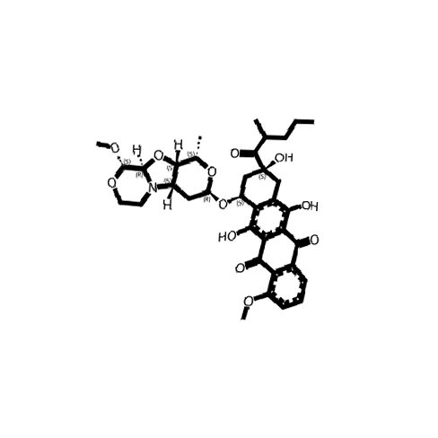 CCCC(C)C(=O)[C@]1(O)Cc2c(O)c3c(c(O)c2[C@@H](O[C@H]2C[C@H]4[C@H](O[C@@H]5[C@@H](OC)OCCN54)[C@H](C)O2)C1)C(=O)c1c(OC)cccc1C3=O